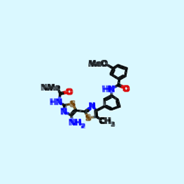 CNC(=O)Nc1nc(N)c(-c2nc(-c3cccc(NC(=O)c4cccc(OC)c4)c3)c(C)s2)s1